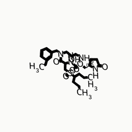 CCCC(CCC)S(=O)(=O)CC(NC(=O)OC[C@@H]1CCC(=O)N1)C(=O)N(Cc1cccc(CC)c1)C[C@@H](O)CN